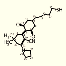 CC1(C)CC(=C2C(=O)CC(CCSCCS)CC2=O)C(C#N)=C(N2CCCC2)C1